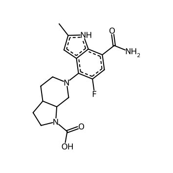 Cc1cc2c(N3CCC4CCN(C(=O)O)C4C3)c(F)cc(C(N)=O)c2[nH]1